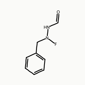 O=CNN(F)Cc1ccccc1